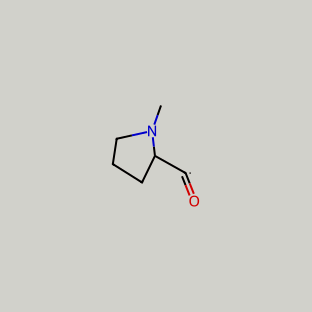 CN1CCCC1[C]=O